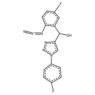 [N-]=[N+]=Nc1ccc(F)cc1C(O)c1cn(-c2ccc(F)cc2)nn1